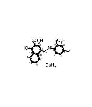 Cc1ccc(N=Nc2cc(C(=O)O)c(O)c3ccccc23)c(S(=O)(=O)O)c1.[CaH2]